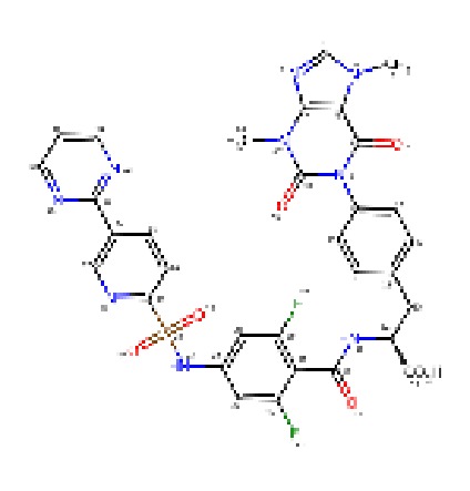 Cn1cnc2c1c(=O)n(-c1ccc(C[C@H](NC(=O)c3c(F)cc(NS(=O)(=O)c4ccc(-c5ncccn5)cn4)cc3F)C(=O)O)cc1)c(=O)n2C